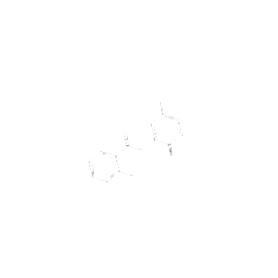 Cc1c[nH]c(=O)c(NC(=O)c2ccccc2F)c1